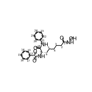 O=C(CCCCC[C@H](NS(=O)(=O)c1ccccc1)C(=O)Nc1ccccc1)NO